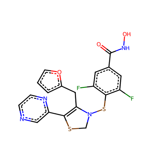 O=C(NO)c1cc(F)c(SN2CSC(c3cnccn3)=C2Cc2ccco2)c(F)c1